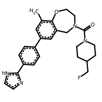 Cc1cc(-c2ccc(-c3ncc[nH]3)cc2)cc2c1OCCN(C(=O)N1CCC(CF)CC1)C2